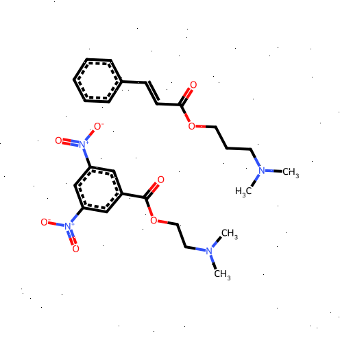 CN(C)CCCOC(=O)C=Cc1ccccc1.CN(C)CCOC(=O)c1cc([N+](=O)[O-])cc([N+](=O)[O-])c1